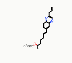 C=CCc1cnc2cc(C=CCCCC(C)OCCCCC)ccc2n1